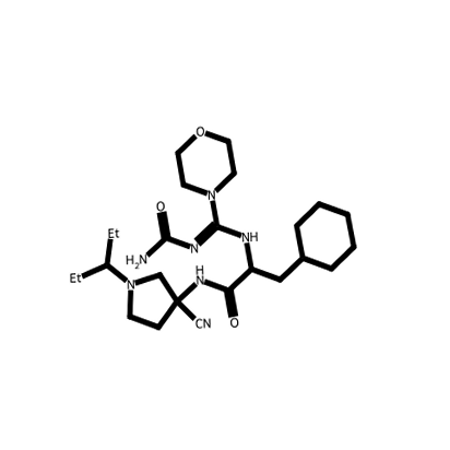 CCC(CC)N1CCC(C#N)(NC(=O)C(CC2CCCCC2)N/C(=N/C(N)=O)N2CCOCC2)C1